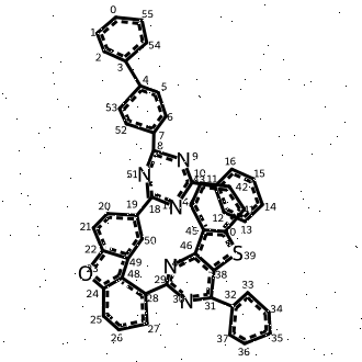 c1ccc(-c2ccc(-c3nc(-c4ccccc4)nc(-c4ccc5oc6cccc(-c7nc(-c8ccccc8)c8sc9ccccc9c8n7)c6c5c4)n3)cc2)cc1